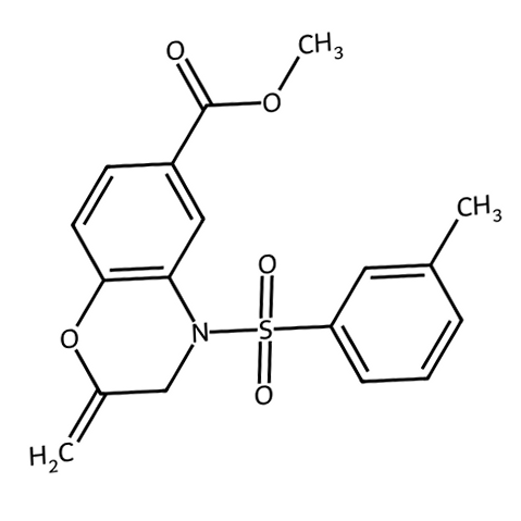 C=C1CN(S(=O)(=O)c2cccc(C)c2)c2cc(C(=O)OC)ccc2O1